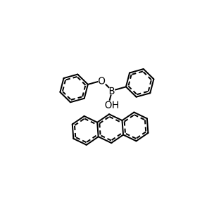 OB(Oc1ccccc1)c1ccccc1.c1ccc2cc3ccccc3cc2c1